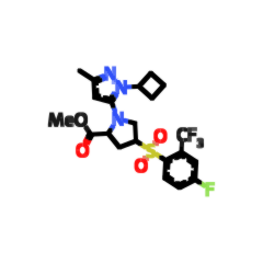 COC(=O)C1CC(S(=O)(=O)c2ccc(F)cc2C(F)(F)F)CN1c1cc(C)nn1C1CCC1